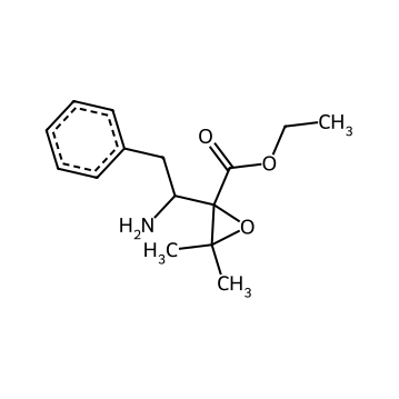 CCOC(=O)C1(C(N)Cc2ccccc2)OC1(C)C